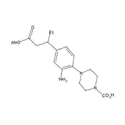 CCC(CC(=O)OC)c1ccc(N2CCN(C(=O)O)CC2)c(N)c1